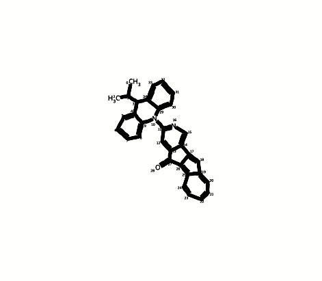 CC(C)C1c2ccccc2N(c2cc3c(cn2)-c2cc4cccccc-4c2C3=O)c2ccccc21